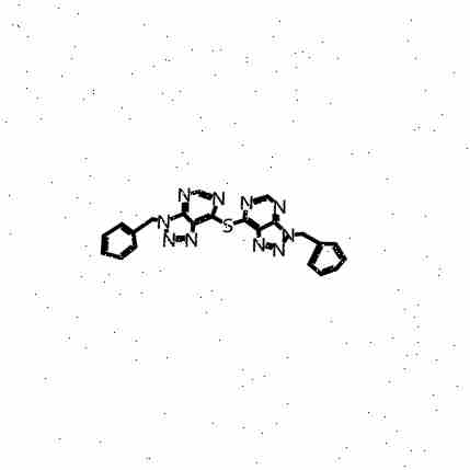 c1ccc(Cn2nnc3c(Sc4ncnc5c4nnn5Cc4ccccc4)ncnc32)cc1